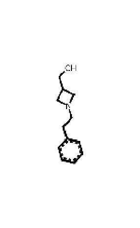 OCC1CN(CCc2ccccc2)C1